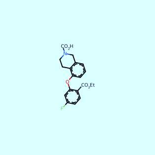 CCOC(=O)c1ccc(F)cc1Oc1cccc2c1CCN(C(=O)O)C2